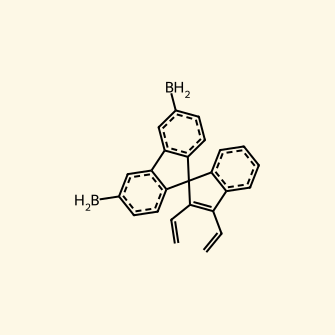 Bc1ccc2c(c1)-c1cc(B)ccc1C21C(C=C)=C(C=C)c2ccccc21